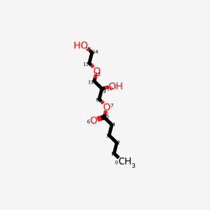 CCCCCC(=O)OCC(O)COCCO